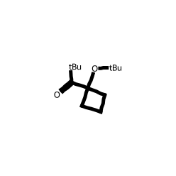 CC(C)(C)OC1(C(=O)C(C)(C)C)CCC1